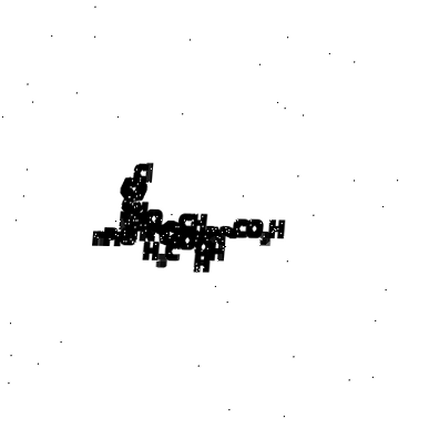 CCCOc1nc(Cc2ccc(Cl)cc2)nc2oc(-c3cc(C)c(OCC(O)CNCCC(=O)O)c(C)c3)nc12